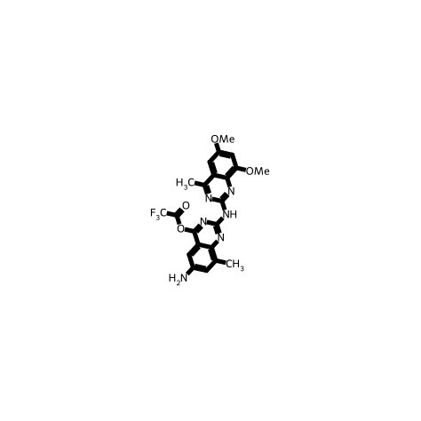 COc1cc(OC)c2nc(Nc3nc(OC(=O)C(F)(F)F)c4cc(N)cc(C)c4n3)nc(C)c2c1